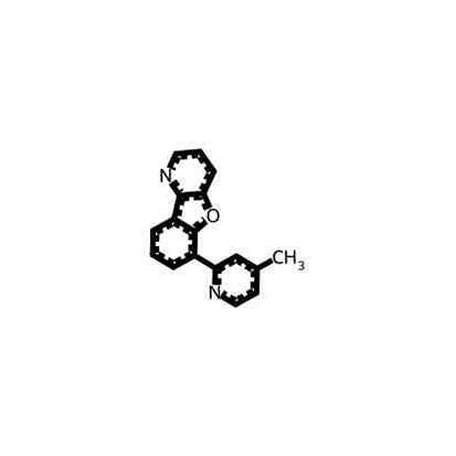 Cc1ccnc(-c2cccc3c2oc2cccnc23)c1